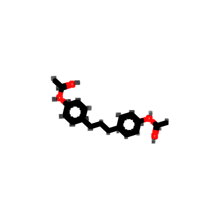 CC(=O)Oc1ccc(CCCc2ccc(OC(C)=O)cc2)cc1